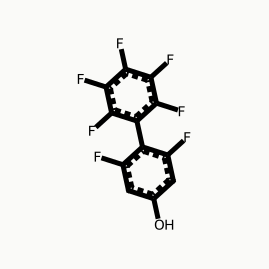 Oc1cc(F)c(-c2c(F)c(F)c(F)c(F)c2F)c(F)c1